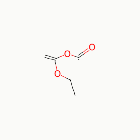 C=C(O[C]=O)OCC